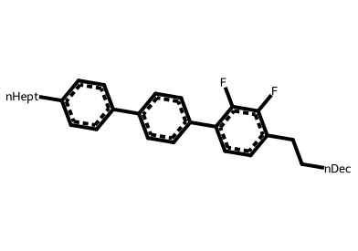 CCCCCCCCCCCCc1ccc(-c2ccc(-c3ccc(CCCCCCC)cc3)cc2)c(F)c1F